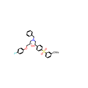 COc1cccc(S(=O)(=O)c2ccc(CCN(Cc3ccccc3)C[C@H](O)COc3ccc(F)cc3)cc2)c1